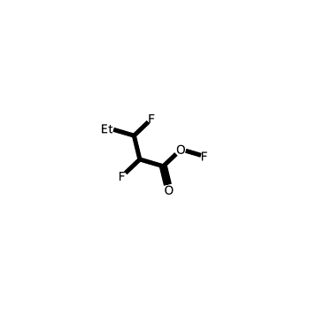 CCC(F)C(F)C(=O)OF